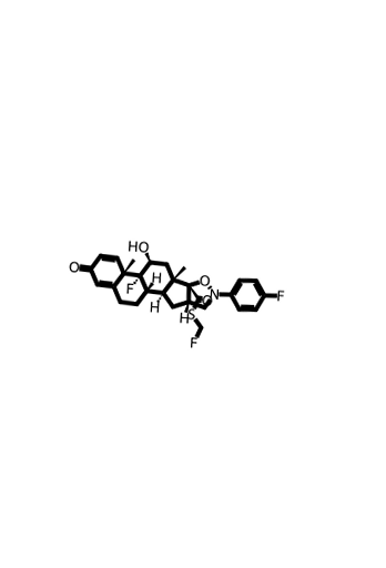 C[C@]12C=CC(=O)C=C1CC[C@H]1[C@@H]3C[C@H]4CN(c5ccc(F)cc5)O[C@@]4(C(=O)SCF)[C@@]3(C)C[C@H](O)[C@@]12F